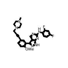 COc1ccc(C#CCN2CCN(C)CC2)cc1-c1n[nH]c2nc(Nc3ccc(F)cc3F)ncc12